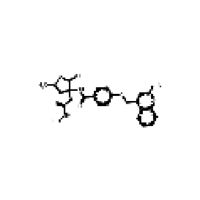 Cc1cc(COc2ccc(C(=O)NC3(CC(=O)NO)CC(C)OC3C)cc2)c2ccccc2n1